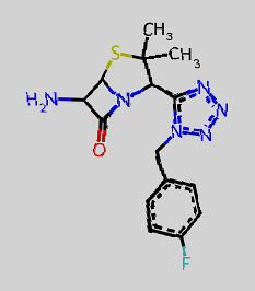 CC1(C)SC2C(N)C(=O)N2C1c1nnnn1Cc1ccc(F)cc1